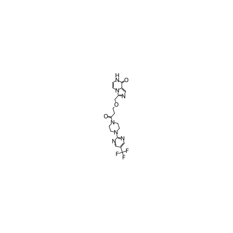 O=C(CCOCc1ncc2c(=O)[nH]ccn12)N1CCN(c2ncc(C(F)(F)F)cn2)CC1